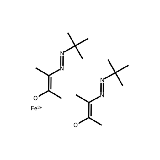 CC([O-])=C(C)N=NC(C)(C)C.CC([O-])=C(C)N=NC(C)(C)C.[Fe+2]